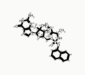 COC(=O)[C@H](C)NP(=O)(OC[C@H]1O[C@@H](n2cnc3c(=O)[nH]c(N)nc32)C(C)(O)[C@H]1O)Oc1cccc2ccccc12